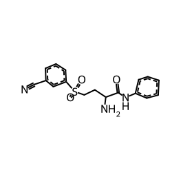 N#Cc1cccc(S(=O)(=O)CCC(N)C(=O)Nc2ccccc2)c1